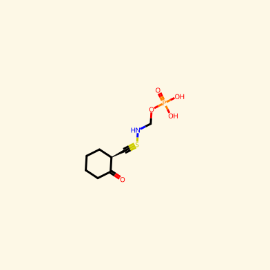 O=C1CCCC[C@H]1C#SNCOP(=O)(O)O